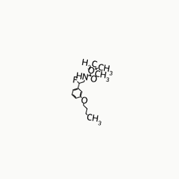 CCCCOc1cccc(C(F)CNC(=O)OC(C)(C)C)c1